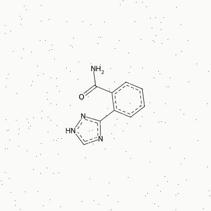 NC(=O)c1ccccc1-c1nc[nH]n1